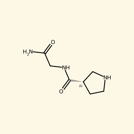 NC(=O)CNC(=O)[C@H]1CCNC1